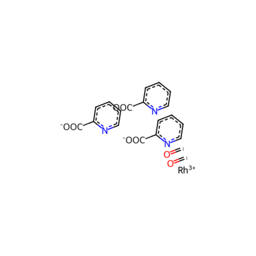 O=C([O-])c1ccccn1.O=C([O-])c1ccccn1.O=C([O-])c1ccccn1.[C]=O.[C]=O.[Rh+3]